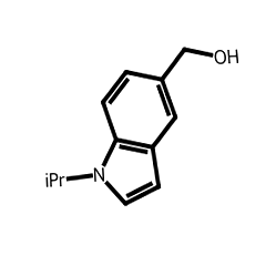 CC(C)n1ccc2cc(CO)ccc21